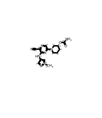 Cn1cc(Nc2nc(N3CCC[C@@H](OC(N)=O)C3)cnc2C#N)cn1